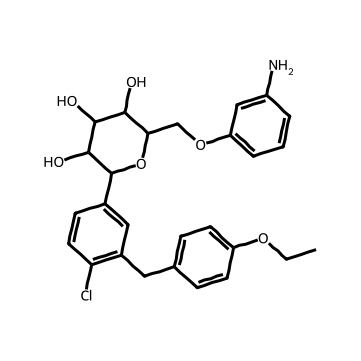 CCOc1ccc(Cc2cc(C3OC(COc4cccc(N)c4)C(O)C(O)C3O)ccc2Cl)cc1